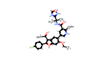 CNC(=O)c1c(-c2ccc(F)cc2)oc2cc(OCC(F)(F)F)c(-c3cnc(OC)c(C(=O)NC(C)(C)c4ncon4)c3)cc12